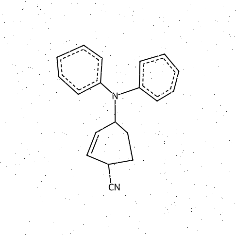 N#CC1C=CC(N(c2ccccc2)c2ccccc2)CC1